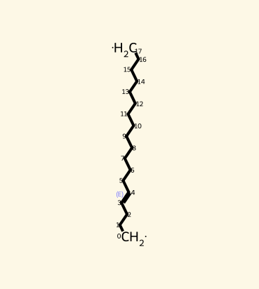 [CH2]CC/C=C/CCCCCCCCCCCC[CH2]